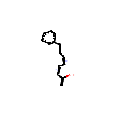 C=C(O)/C=C\C=C/CCc1ccccc1